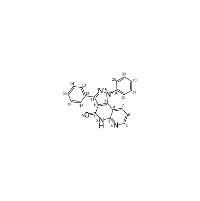 O=c1[nH]c2ncccc2c2c1c(-c1ccccc1)nn2-c1ccccc1